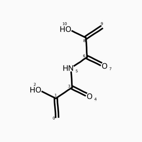 C=C(O)C(=O)NC(=O)C(=C)O